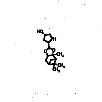 CC1(C)C2CC3OB([C@@H]4C[C@H](O)CP4)O[C@@]3(C)C1C2